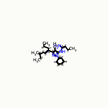 CC/C=C(/N)Nc1c(C)c(/C(=C/CC(C)CC)CCC)nn1-c1ccccc1